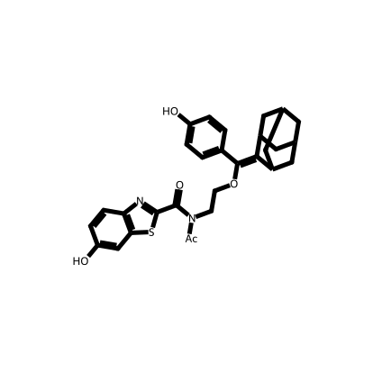 CC(=O)N(CCOC(=C1C2CC3CC(C2)CC1C3)c1ccc(O)cc1)C(=O)c1nc2ccc(O)cc2s1